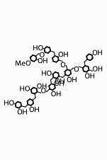 COc1ccc(COc2cc(Cc3cccc(COCc4cc(Cc5ccc(O)c(Cc6cc(COCc7c(O)cc(O)cc7Cc7ccc(Cc8ccc(O)cc8O)c(O)c7)c(O)cc6O)c5O)c(O)cc4COCc4cc(O)c(CO)cc4Cc4ccc(O)cc4)c3O)ccc2O)c(O)c1